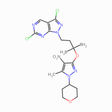 BC(B)(CCn1nc(Cl)c2cnc(Cl)nc21)Oc1nn(C2CCOCC2)c(C)c1[N+](=O)[O-]